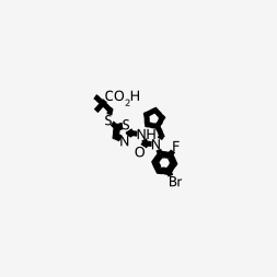 CC(C)(CSc1cnc(NC(=O)N(CC2CCCC2)c2ccc(Br)cc2F)s1)C(=O)O